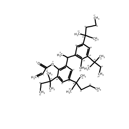 C=CC(=O)Oc1c(C(C)c2cc(C(C)(C)CCC)cc(C(C)(C)CC)c2O)cc(C(C)(C)CCC)cc1C(C)(C)CC